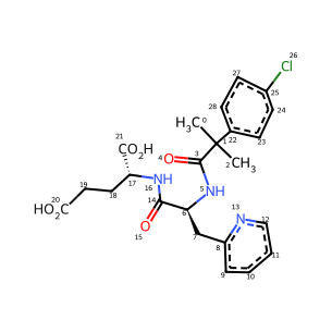 CC(C)(C(=O)N[C@@H](Cc1ccccn1)C(=O)N[C@H](CCC(=O)O)C(=O)O)c1ccc(Cl)cc1